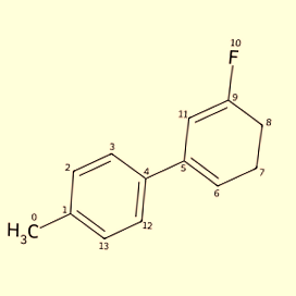 Cc1ccc(C2=CCCC(F)=C2)cc1